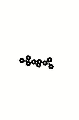 c1ccc(-n2c3ccccc3c3cc(-c4ccc5c6c(cccc46)-c4cc(-c6cccc7c6c6ccccc6n7-c6ccccc6)ccc4-5)ccc32)cc1